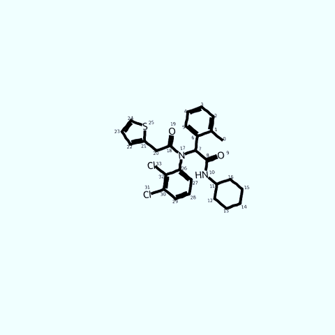 Cc1ccccc1C(C(=O)NC1CCCCC1)N(C(=O)Cc1cccs1)c1cccc(Cl)c1Cl